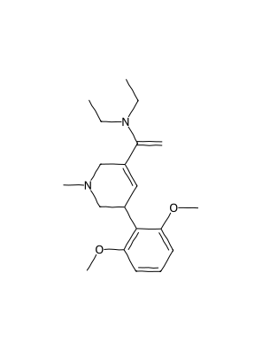 C=C(C1=CC(c2c(OC)cccc2OC)CN(C)C1)N(CC)CC